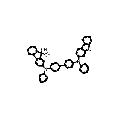 CC1(C)c2ccccc2-c2ccc(N(c3ccccc3)c3ccc(-c4ccc(N(c5ccccc5)c5ccc6c(c5)oc5ccccc56)cc4)cc3)cc21